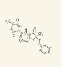 C=CCCC(OCc1ccccc1)(C(=O)NNC(=O)c1nc(Cl)c(C(F)(F)F)cc1Cl)C(F)(F)F